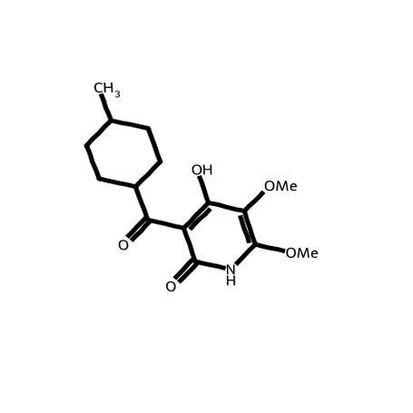 COc1[nH]c(=O)c(C(=O)C2CCC(C)CC2)c(O)c1OC